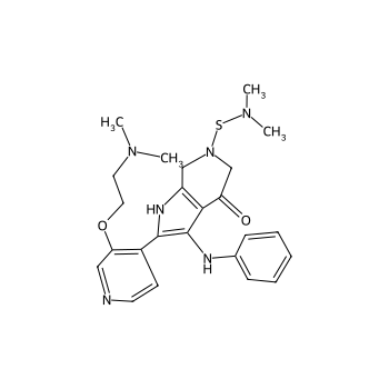 CN(C)CCOc1cnccc1-c1[nH]c2c(c1Nc1ccccc1)C(=O)CN(SN(C)C)C2